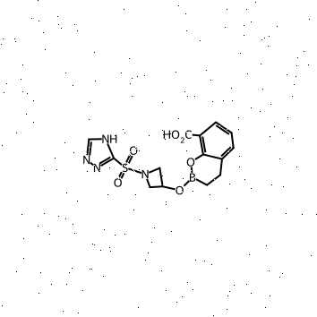 O=C(O)c1cccc2c1OB(OC1CN(S(=O)(=O)c3nnc[nH]3)C1)CC2